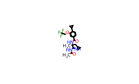 CC(=O)NC(=N)[C@@](C)(CC1CC1)NC(=O)c1ccc(C2CC2)c(OCC(F)(F)F)c1